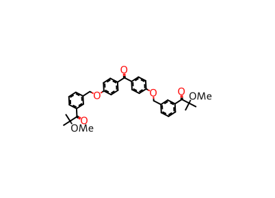 COC(C)(C)C(=O)c1cccc(COc2ccc(C(=O)c3ccc(OCc4cccc(C(=O)C(C)(C)OC)c4)cc3)cc2)c1